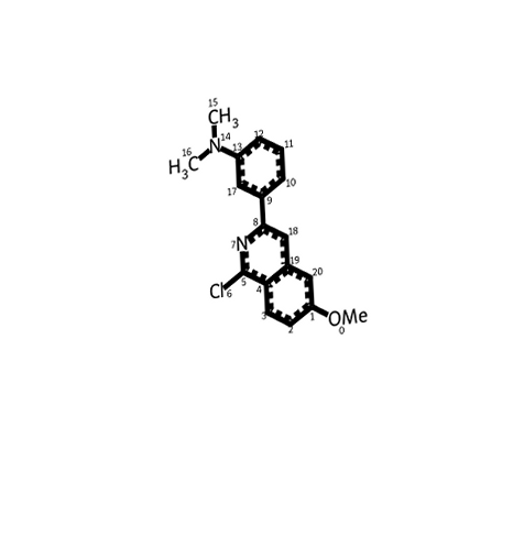 COc1ccc2c(Cl)nc(-c3cccc(N(C)C)c3)cc2c1